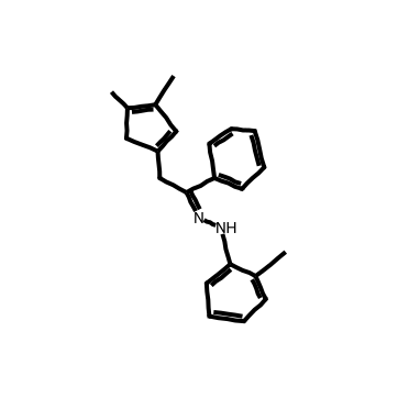 CC1=C(C)CC(CC(=NNc2ccccc2C)c2ccccc2)=C1